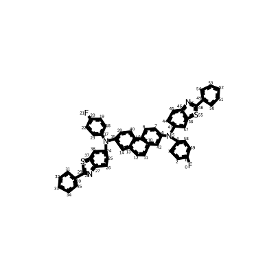 Fc1ccc(N(c2ccc3c(ccc4cc(N(c5ccc(F)cc5)c5ccc6nc(-c7ccccc7)sc6c5)ccc43)c2)c2ccc3nc(-c4ccccc4)sc3c2)cc1